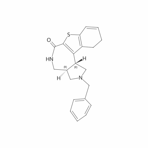 O=C1NC[C@@H]2CN(Cc3ccccc3)C[C@H]2c2c1sc1c2CCC=C1